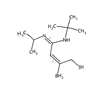 B/C(=C/C(=N\C(C)C)NC(C)(C)C)CS